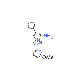 COc1cccc(-c2nc3cc(-c4ccccc4)cc(N)n3n2)n1